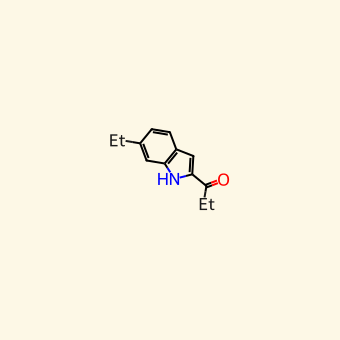 CCC(=O)c1cc2ccc(CC)cc2[nH]1